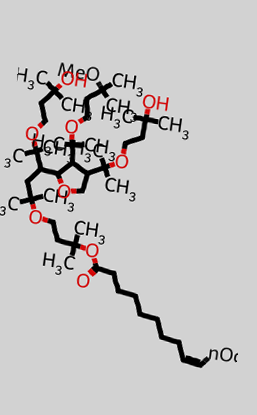 CCCCCCCC/C=C\CCCCCCCC(=O)OC(C)(C)CCOC(C)(C)CC(C1OCC(C(C)(C)OCCC(C)(C)O)C1C(C)(C)OCCC(C)(C)OC)C(C)(C)OCCC(C)(C)O